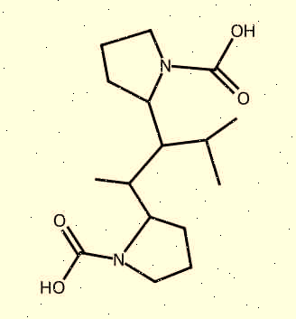 CC(C)C(C(C)C1CCCN1C(=O)O)C1CCCN1C(=O)O